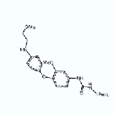 CCCCCNC(=O)Nc1ccc(Oc2ccc(NCCOC)cc2)c(OC)c1